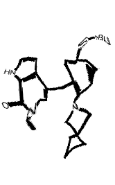 CCCCSc1ccc(N2CC3(CCC3)C2)c(-c2cn(C)c(=O)c3[nH]ccc23)c1